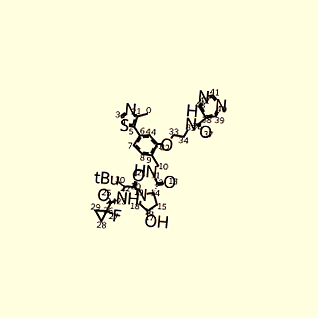 Cc1ncsc1-c1ccc(CNC(=O)[C@@H]2C[C@@H](O)CN2C(=O)[C@@H](NC(=O)C2(F)CC2)C(C)(C)C)c(OCCNC(=O)c2cncnc2)c1